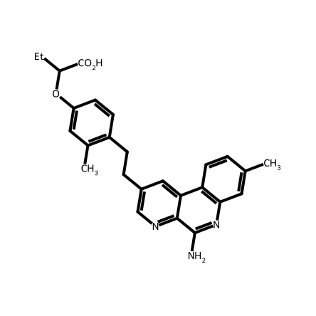 CCC(Oc1ccc(CCc2cnc3c(N)nc4cc(C)ccc4c3c2)c(C)c1)C(=O)O